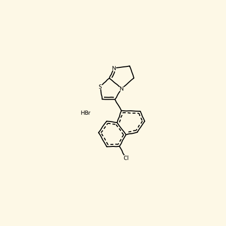 Br.Clc1cccc2c(C3=CSC4=NCCN34)cccc12